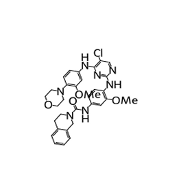 COc1cc(NC(=O)N2CCc3ccccc3C2)ccc1Nc1ncc(Cl)c(Nc2ccc(N3CCOCC3)c(OC)c2)n1